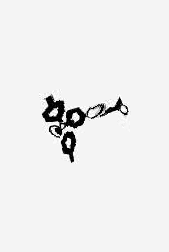 Cc1ccc(P(=O)(c2ccc(C)cc2)c2ccc(OCC3CO3)cc2)cc1